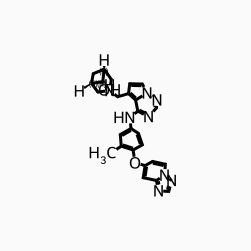 Cc1cc(Nc2ncnn3ccc(CN4C[C@H]5C[C@@H](C4)[C@H]5O)c23)ccc1Oc1ccn2ncnc2c1